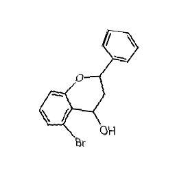 OC1CC(c2ccccc2)Oc2cccc(Br)c21